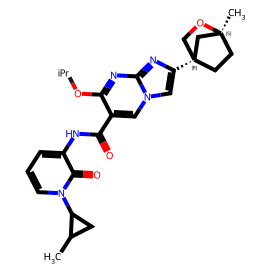 CC(C)Oc1nc2nc([C@@]34CC[C@@](C)(C3)OC4)cn2cc1C(=O)Nc1cccn(C2CC2C)c1=O